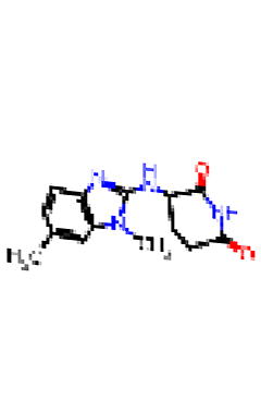 Cc1ccc2nc(NC3CCC(=O)NC3=O)n(C)c2c1